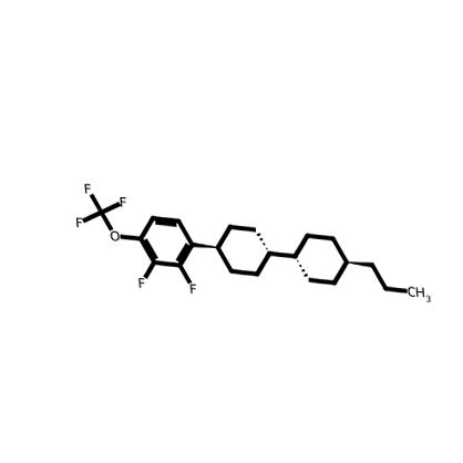 CCC[C@H]1CC[C@H]([C@H]2CC[C@H](c3ccc(OC(F)(F)F)c(F)c3F)CC2)CC1